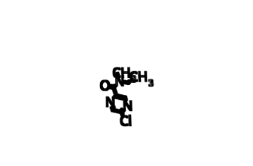 CCN(C)C(=O)c1cnc(Cl)cn1